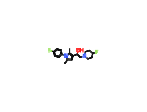 Cc1cc(C(O)CN2CCC(F)CC2)c(C)n1-c1ccc(F)cc1